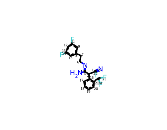 N#CC(C(N)=NCCc1cc(F)cc(F)c1)c1ccccc1C(F)(F)F